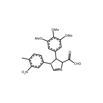 COc1cc(C2C(C(=O)C=O)N=CN2c2ccc(C)c([N+](=O)[O-])c2)cc(OC)c1OC